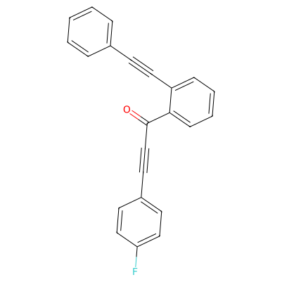 O=C(C#Cc1ccc(F)cc1)c1ccccc1C#Cc1ccccc1